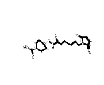 O=C(CCCCCN1C(=O)C=CC1=O)NC[C@H]1CC[C@H](C(=O)O)CC1